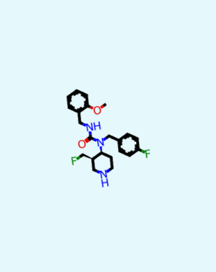 COc1ccccc1CNC(=O)N(Cc1ccc(F)cc1)[C@H]1CCNC[C@H]1CF